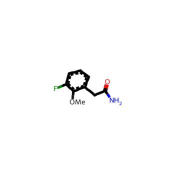 COc1c(F)cccc1CC(N)=O